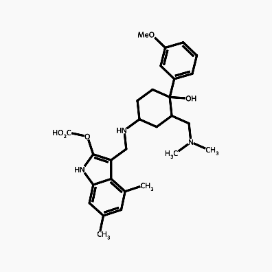 COc1cccc(C2(O)CCC(NCc3c(OC(=O)O)[nH]c4cc(C)cc(C)c34)CC2CN(C)C)c1